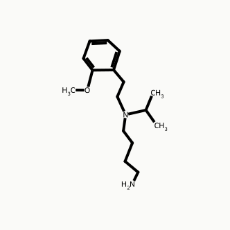 COc1ccccc1CCN(CCCCN)C(C)C